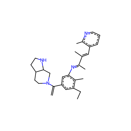 C=C(c1cc(CC)c(C)c(/N=C(C)/C(C)=C/c2cccnc2C)c1)N1CCC2CCNC2C1